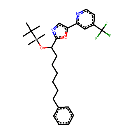 CC(C)(C)[Si](C)(C)OC(CCCCCCc1ccccc1)c1ncc(-c2cc(C(F)(F)F)ccn2)o1